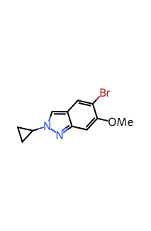 COc1cc2nn(C3CC3)cc2cc1Br